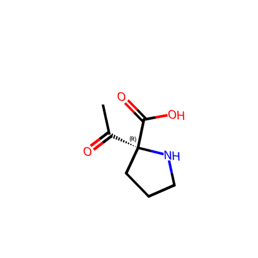 CC(=O)[C@@]1(C(=O)O)CCCN1